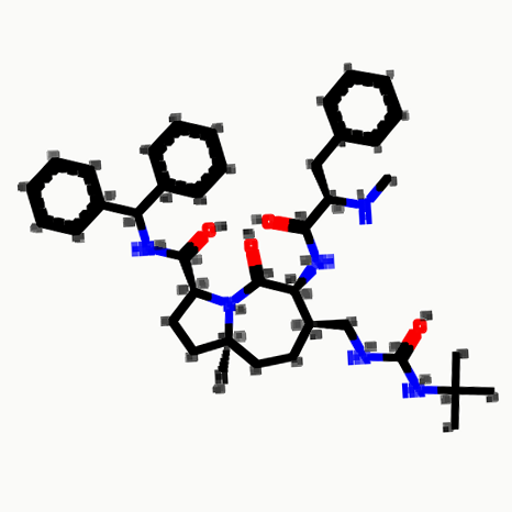 CN[C@H](Cc1ccccc1)C(=O)N[C@@H]1C(=O)N2[C@@H](CC[C@@H]1CNC(=O)NC(C)(C)C)CC[C@H]2C(=O)NC(c1ccccc1)c1ccccc1